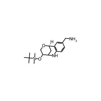 CC(C)(C)[Si](C)(C)OC1CO[C@@H]2CC1Nc1ccc(CN)cc12